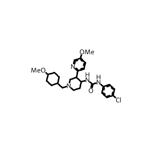 COc1ccc(C2CN(CC3CCC(OC)CC3)CCC2NC(=O)Nc2ccc(Cl)cc2)nc1